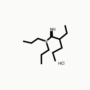 CCCC(CC)C(=N)N(CCC)CCC.Cl